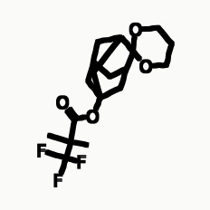 CC(C)(C(=O)OC12CC3CC(C1)C1(OCCCO1)C(C3)C2)C(F)(F)F